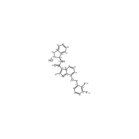 Cc1nc2c(OCc3cccc(F)c3F)cccn2c1C(=O)N[C@@H]1c2ccccc2C[C@H]1O